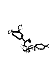 C=CCN(C)C1(CNC(=O)C(C=C)c2ccc(Cl)c(Cl)c2)CCC(=O)CC1